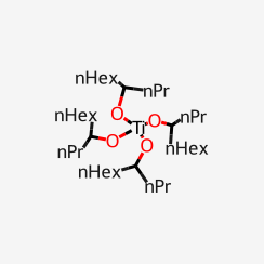 CCCCCCC(CCC)[O][Ti]([O]C(CCC)CCCCCC)([O]C(CCC)CCCCCC)[O]C(CCC)CCCCCC